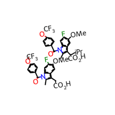 COc1cc2c(C(C(=O)O)C(C)C)c(C)n(C(=O)c3ccc(OC(F)(F)F)cc3)c2cc1F.COc1cc2c(CC(=O)O)c(C)n(C(=O)c3ccc(OC(F)(F)F)cc3)c2cc1F